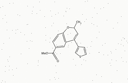 COC(=O)c1ccc2c(c1)C(c1ccsc1)=CC(C)O2